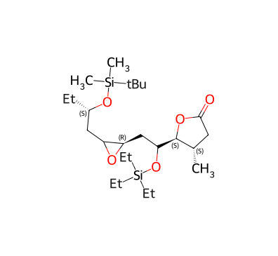 CC[C@@H](CC1O[C@@H]1CC(O[Si](CC)(CC)CC)[C@H]1OC(=O)C[C@@H]1C)O[Si](C)(C)C(C)(C)C